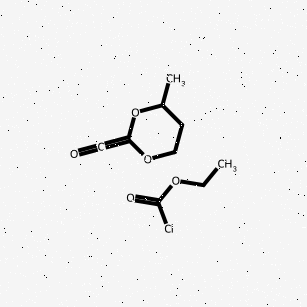 CC1CCOC(=C=O)O1.CCOC(=O)Cl